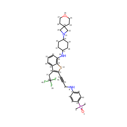 CP(C)(=O)c1ccc(NCC#Cc2sc3c(NC4CCC(N5CC6(CCOCC6)C5)CC4)cccc3c2CC(F)(F)F)cc1